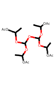 CC(=O)OC(C)OC(OC(C)OC(C)=O)OC(OC(C)OC(C)=O)OC(C)OC(C)=O